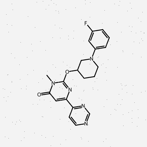 Cn1c(OC2CCCN(c3cccc(F)c3)C2)nc(-c2ccncn2)cc1=O